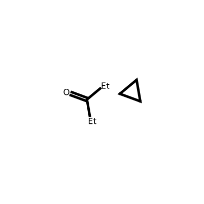 C1CC1.CCC(=O)CC